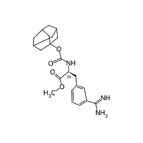 COC(=O)[C@H](Cc1cccc(C(=N)N)c1)NC(=O)OC12CC3CC(CC(C3)C1)C2